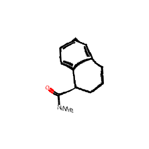 CNC(=O)[C@@H]1CCCc2ccccc21